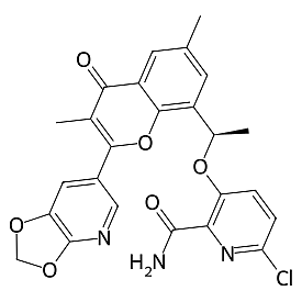 Cc1cc([C@@H](C)Oc2ccc(Cl)nc2C(N)=O)c2oc(-c3cnc4c(c3)OCO4)c(C)c(=O)c2c1